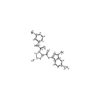 CC(=O)c1nn(CC(=O)N2C[C@H](F)C[C@H]2C(=O)Nc2cccc(Br)n2)c2ccc(C)cc12